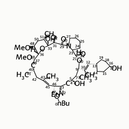 CCCCO/N=C1/C[C@H](O)[C@@H](C)[C@@H](/C(C)=C/[C@H]2CC[C@H](O)CC2)OC(=O)[C@@H]2CCCCN2C(=O)C(=O)[C@]2(O)O[C@H]([C@@H](OC)C[C@@H](C)C/C(C)=C/[C@H]1CC)[C@@H](OC)C[C@H]2C